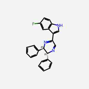 Fc1ccc2[nH]cc(C3=N[C@H](c4ccccc4)[C@@H](c4ccccc4)N=C3)c2c1